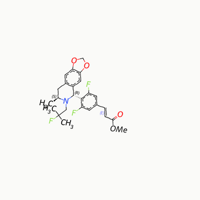 COC(=O)/C=C/c1cc(F)c([C@H]2c3cc4c(cc3C[C@H](C)N2CC(C)(C)F)OCO4)c(F)c1